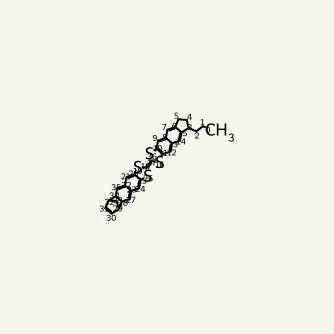 CCCC1CCc2cc3cc4c(cc3cc21)SC(=C1Sc2cc3c(cc2S1)=CC1C2C=CC(C2)C1C=3)S4